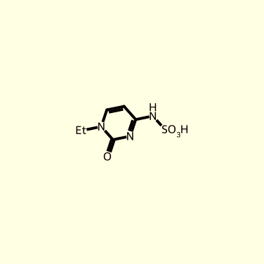 CCn1ccc(NS(=O)(=O)O)nc1=O